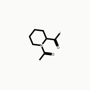 CC(=O)N1CCCCC1C(=O)I